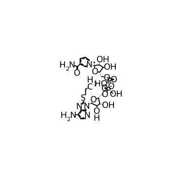 CCCSc1nc2c(N)ccnc2n1[C@@H]1O[C@H](COP(=O)(O)OP(=O)(O)OC[C@@H]2O[C@H]([n+]3cccc(C(N)=O)c3)[C@H](O)C2O)[C@H](O)C1O